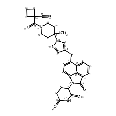 CC1(n2cc(Cc3ccc4c5c(cccc35)C(=O)N4C3CCC(=O)NC3=O)cn2)CCN(C(=O)C2(C#N)CCC2)CC1